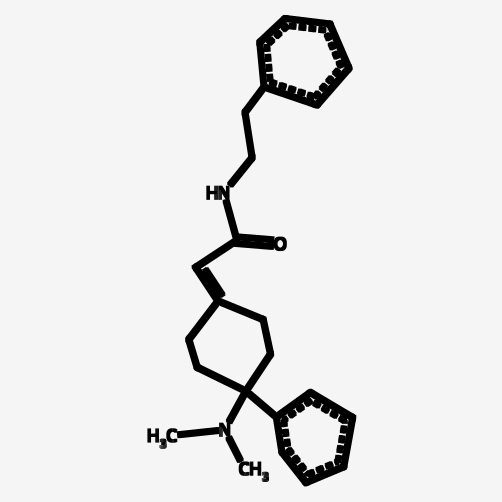 CN(C)C1(c2ccccc2)CCC(=CC(=O)NCCc2ccccc2)CC1